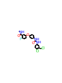 CNC(=O)c1cc(Oc2ccc(NC(=O)Nc3ccc(Cl)c(CCl)c3)cc2)ccc1F